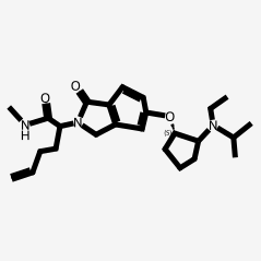 C=CCCC(C(=O)NC)N1Cc2cc(O[C@H]3CCCC3N(CC)C(C)C)ccc2C1=O